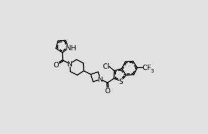 O=C(c1ccc[nH]1)N1CCC(C2CN(C(=O)c3sc4cc(C(F)(F)F)ccc4c3Cl)C2)CC1